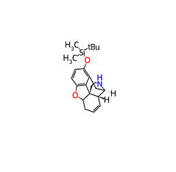 CC(C)(C)[Si](C)(C)Oc1ccc2c3c1C[C@H]1NCC[C@@]34C(CC=C[C@@H]14)O2